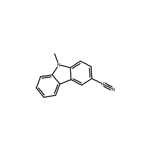 Cn1c2ccccc2c2cc([N+]#N)ccc21